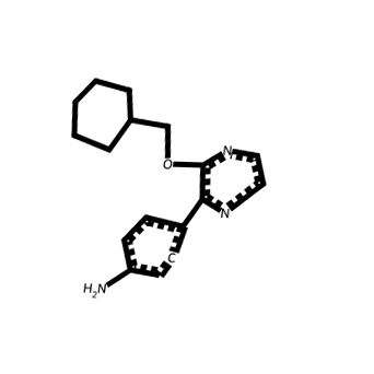 Nc1ccc(-c2nccnc2OCC2CCCCC2)cc1